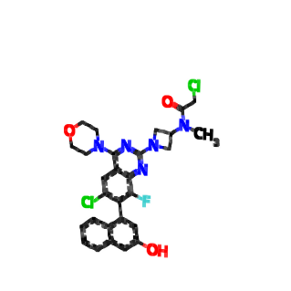 CN(C(=O)CCl)C1CN(c2nc(N3CCOCC3)c3cc(Cl)c(-c4cc(O)cc5ccccc45)c(F)c3n2)C1